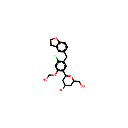 OCOc1cc(Cl)c(Cc2ccc3c(c2)CCO3)cc1C1CC(O)CC(CO)O1